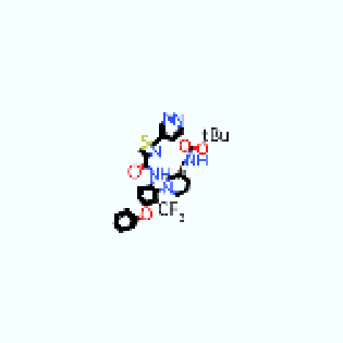 CC(C)(C)OC(=O)NC[C@@H]1CCCN(c2c(NC(=O)c3csc(-c4ccnnc4)n3)ccc(Oc3ccccc3)c2C(F)(F)F)C1